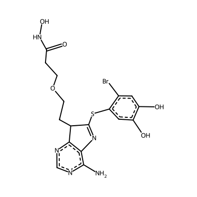 Nc1ncnc2c1N=C(Sc1cc(O)c(O)cc1Br)C2CCOCCC(=O)NO